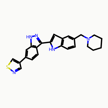 c1cc2[nH]c(-c3n[nH]c4cc(-c5cnsc5)ccc34)cc2cc1CN1CCCCC1